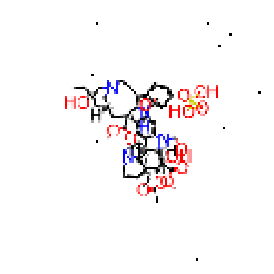 CC[C@]1(O)C[C@@H]2CN(CCc3c([nH]c4ccccc34)[C@@](C(=O)OC)(c3cc4c(cc3OC)N(C=O)[C@H]3[C@@](O)(C(=O)OC)[C@H](OC(C)=O)[C@]5(CC)C=CCN6CC[C@]43[C@@H]65)C2)C1.O=S(=O)(O)O